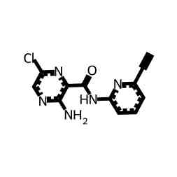 C#Cc1cccc(NC(=O)c2nc(Cl)cnc2N)n1